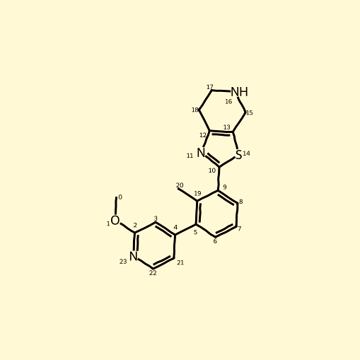 COc1cc(-c2cccc(-c3nc4c(s3)CNCC4)c2C)ccn1